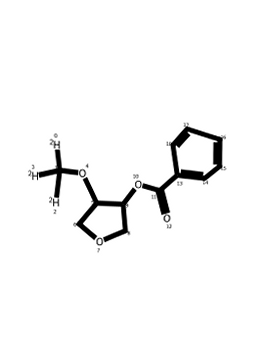 [2H]C([2H])([2H])OC1COCC1OC(=O)c1ccccc1